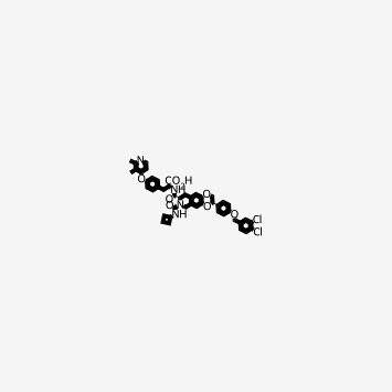 Cc1nccc(Oc2ccc(C[C@H](NC(=O)[C@@H]3Cc4cc5c(cc4CN3C(=O)NC3CCC3)O[C@@H](c3ccc(OCc4ccc(Cl)c(Cl)c4)cc3)CO5)C(=O)O)cc2)c1C